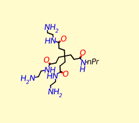 CCCNC(=O)CCC(CCC(=O)NCCN)(CCC(=O)NCCN)CCC(=O)NCCN